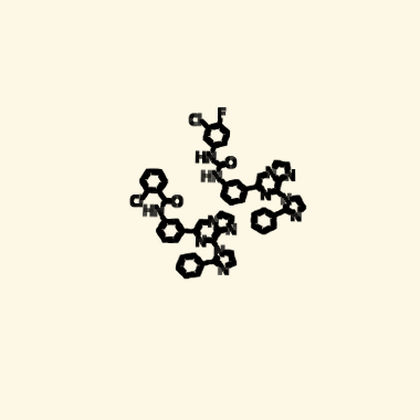 O=C(Nc1cccc(-c2cn3ccnc3c(-n3ccnc3-c3ccccc3)n2)c1)Nc1ccc(F)c(Cl)c1.O=C(Nc1cccc(-c2cn3ccnc3c(-n3ccnc3-c3ccccc3)n2)c1)c1ccccc1Cl